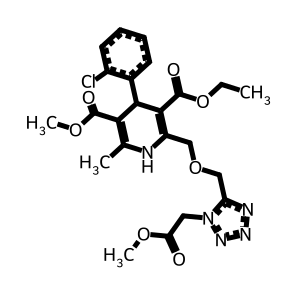 CCOC(=O)C1=C(COCc2nnnn2CC(=O)OC)NC(C)=C(C(=O)OC)C1c1ccccc1Cl